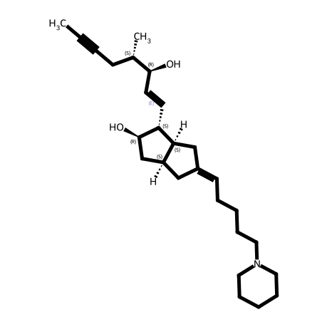 CC#CC[C@H](C)[C@@H](O)/C=C/[C@@H]1[C@H]2CC(=CCCCCN3CCCCC3)C[C@H]2C[C@H]1O